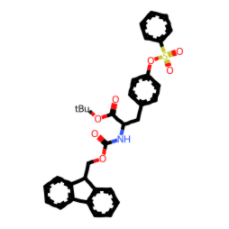 CC(C)(C)OC(=O)C(Cc1ccc(OS(=O)(=O)c2ccccc2)cc1)NC(=O)OCC1c2ccccc2-c2ccccc21